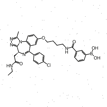 CCNC(=O)C[C@@H]1N=C(c2ccc(Cl)cc2)c2cc(OCCCCNC(=O)c3cccc(B(O)O)c3)ccc2-n2c(C)nnc21